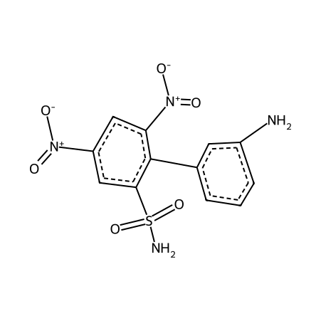 Nc1cccc(-c2c([N+](=O)[O-])cc([N+](=O)[O-])cc2S(N)(=O)=O)c1